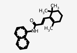 CC1=C(/C=C/C(=O)Nc2cccc3ccccc23)C(C)(C)CCC1